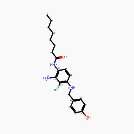 CCCCCCCC(=O)Nc1ccc(NCc2ccc(O)cc2)c(F)c1N